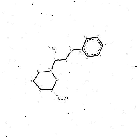 Cl.O=C(O)[C@@H]1CCCN(CCOc2ccccc2)C1